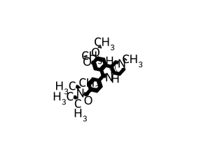 CCOc1cc2c(cc1OC)C(c1ccc(C(=O)N(C(C)C)C(C)C)cc1)=N[C@@H]1CCN(C)C[C@H]21